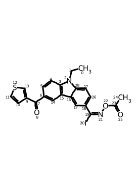 CCn1c2ccc(C(=O)c3ccsc3)cc2c2cc(/C(I)=N\OC(C)=O)ccc21